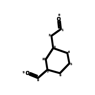 O=CCC1CCCC(C=O)C1